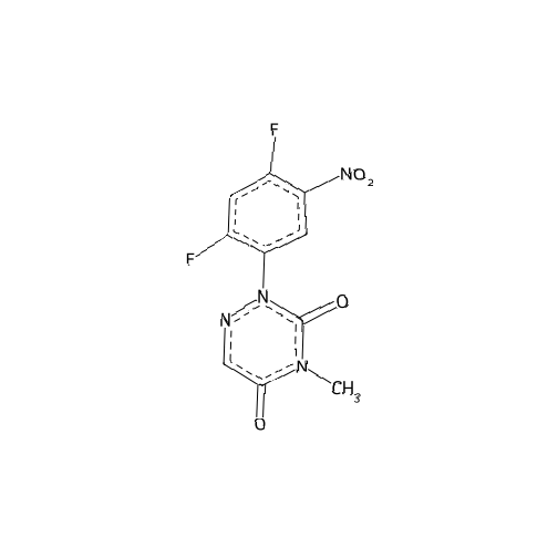 Cn1c(=O)cnn(-c2cc([N+](=O)[O-])c(F)cc2F)c1=O